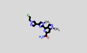 Cn1cc(-c2cnn(CCF)c2)nc1-c1nc(C(N)=O)cc2c1cnn2C